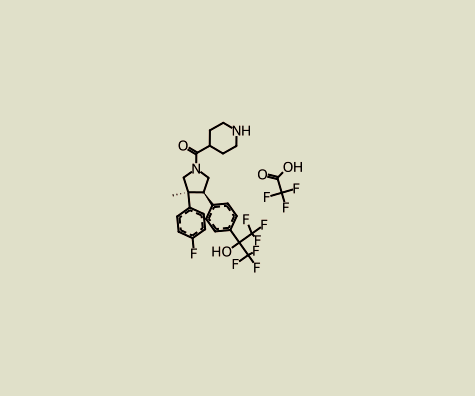 C[C@]1(c2ccc(F)cc2)CN(C(=O)C2CCNCC2)C[C@H]1c1ccc(C(O)(C(F)(F)F)C(F)(F)F)cc1.O=C(O)C(F)(F)F